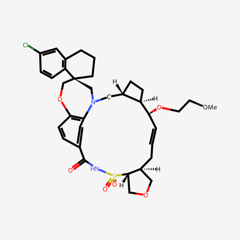 COCCO[C@H]1/C=C/C[C@H]2COC[C@@H]2S(=O)(=O)NC(=O)c2ccc3c(c2)N(C[C@@H]2CC[C@H]21)C[C@@]1(CCCc2cc(Cl)ccc21)CO3